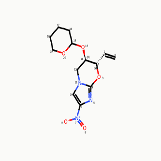 C=C[C@@H]1Oc2nc([N+](=O)[O-])cn2C[C@H]1OC1CCCCO1